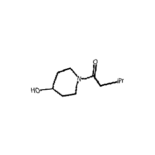 CC(C)CC(=O)N1CCC(O)CC1